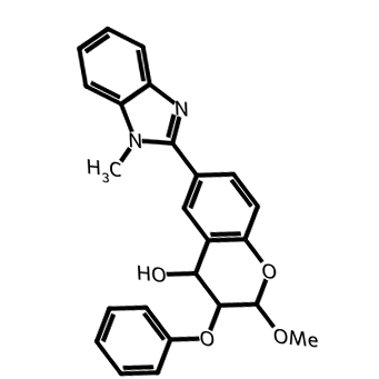 COC1Oc2ccc(-c3nc4ccccc4n3C)cc2C(O)C1Oc1ccccc1